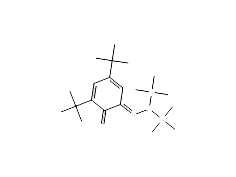 CC(C)(C)C1=CC(=NN([Si](C)(C)C)[Si](C)(C)C)C(=O)C(C(C)(C)C)=C1